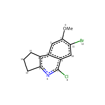 COc1cc2c3c(nc(Cl)c2cc1Br)CCC3